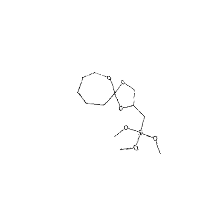 CO[Si](CC1COC2(CCCCCO2)O1)(OC)OC